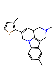 Cc1ccc2c(c1)c1c3n2CC(c2sccc2C)=CC3CN(C)C1